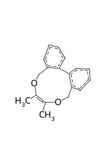 C/C1=C(\C)OCc2ccccc2-c2ccccc2CO1